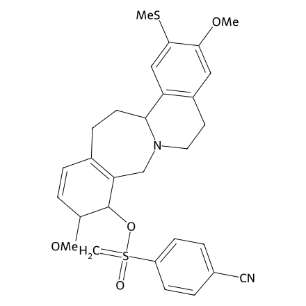 C=S(=O)(OC1C2=C(C=CC1OC)CCC1c3cc(SC)c(OC)cc3CCN1C2)c1ccc(C#N)cc1